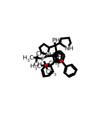 CC(C)(C)P(C[C]12[C]3(c4ccccc4)[C]4(c5ccccc5)[CH]5[C]1(C(P)(C1CCCN1)C1CCCN1)[Fe]54231678[CH]2[CH]1[CH]6[CH]7[CH]28)C(C)(C)C